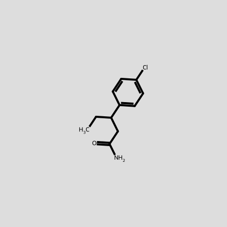 CCC(CC(N)=O)c1ccc(Cl)cc1